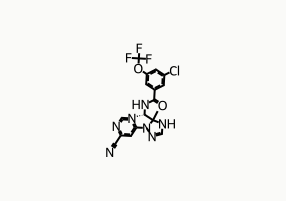 C[C@H](NC(=O)c1cc(Cl)cc(OC(F)(F)F)c1)C1(C)NC=NN1c1cc(C#N)ncn1